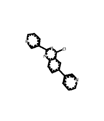 Clc1nc(-c2cccnc2)nc2ccc(-c3cccnc3)cc12